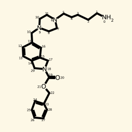 NCCCCCN1CCN(Cc2ccc3c(c2)CN(C(=O)OCc2ccccc2)C3)CC1